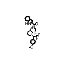 CCN(CC1CCCN(C(c2ccc(OC)cc2)C(F)(F)F)C1)C(=O)c1cc2ccccc2[nH]1